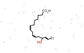 CC/C=C/C(O)C/C=C\C/C=C\CCCCCC(=O)O